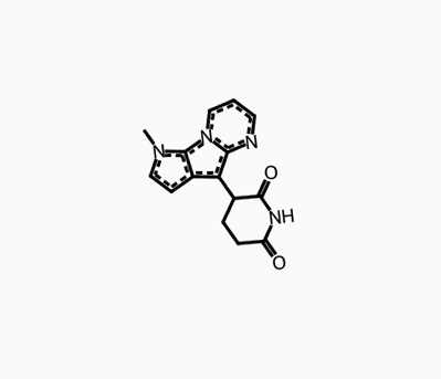 Cn1ccc2c(C3CCC(=O)NC3=O)c3ncccn3c21